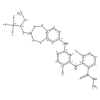 CNC(=O)c1cccc(F)c1Nc1nc(Nc2ccc3c(c2)CCN(CC(OC)C(F)(F)F)CC3)ncc1Cl